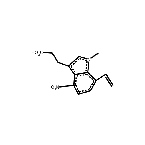 C=Cc1ccc([N+](=O)[O-])c2c(CCC(=O)O)cn(C)c12